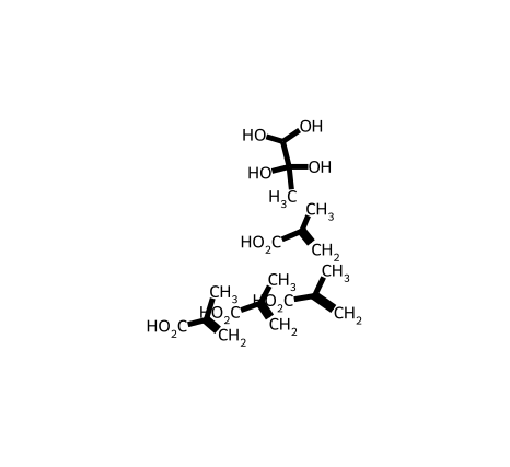 C=C(C)C(=O)O.C=C(C)C(=O)O.C=C(C)C(=O)O.C=C(C)C(=O)O.CC(O)(O)C(O)O